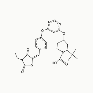 CCN1C(=O)SC(=Cc2ccc(Oc3cc(OC4CCN(C(=O)O)C(C(C)(C)C)C4)ncn3)cc2)C1=O